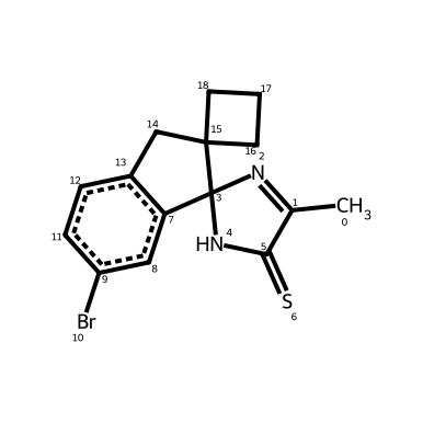 CC1=NC2(NC1=S)c1cc(Br)ccc1CC21CCC1